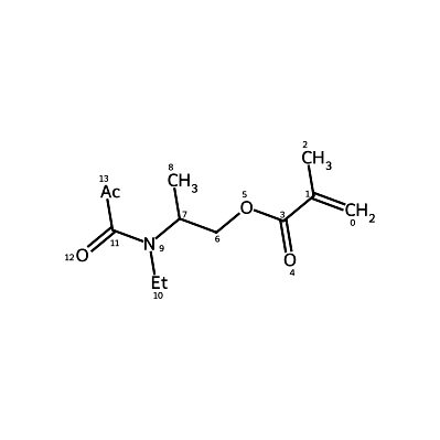 C=C(C)C(=O)OCC(C)N(CC)C(=O)C(C)=O